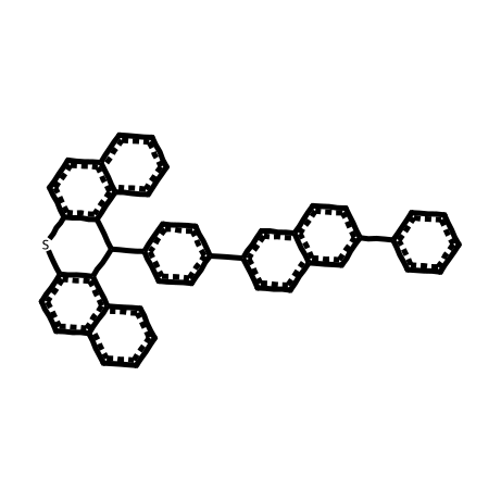 c1ccc(-c2ccc3cc(-c4ccc(C5c6c(ccc7ccccc67)Sc6ccc7ccccc7c65)cc4)ccc3c2)cc1